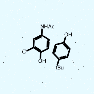 CC(=O)Nc1ccc(O)c(Cl)c1.CC(C)(C)c1ccc(O)cc1